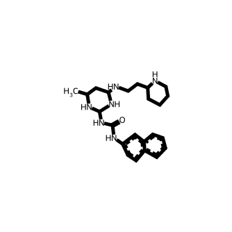 CC1CC(NCCC2CCCCN2)NC(NC(=O)Nc2ccc3ccccc3c2)N1